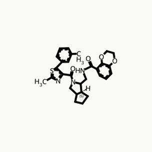 Cc1cccc(-c2sc(C)nc2C(=O)N2CC3CCC[C@@H]3C2CNC(=O)c2cccc3c2OCCO3)c1